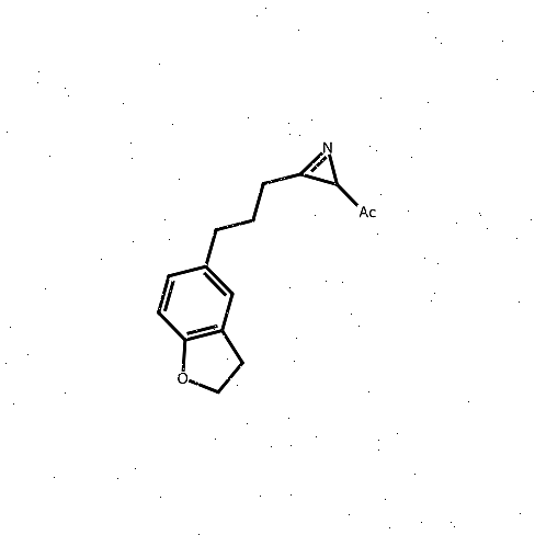 CC(=O)C1N=C1CCCc1ccc2c(c1)CCO2